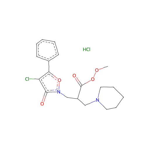 COOC(=O)C(CN1CCCCC1)Cn1oc(-c2ccccc2)c(Cl)c1=O.Cl